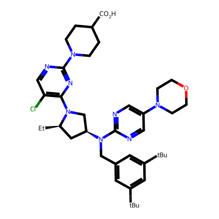 CC[C@@H]1C[C@H](N(Cc2cc(C(C)(C)C)cc(C(C)(C)C)c2)c2ncc(N3CCOCC3)cn2)CN1c1nc(N2CCC(C(=O)O)CC2)ncc1Cl